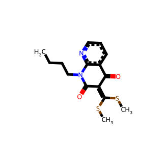 CCCCN1C(=O)C(=C(SC)SC)C(=O)c2cccnc21